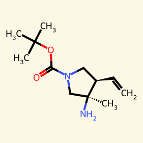 C=C[C@@H]1CN(C(=O)OC(C)(C)C)C[C@]1(C)N